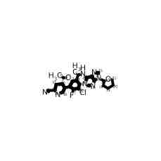 CCOc1c(C(C)Nc2ncnc3c2ncn3C2CCCCO2)cc(Cl)c(F)c1-c1ccc(C#N)nc1